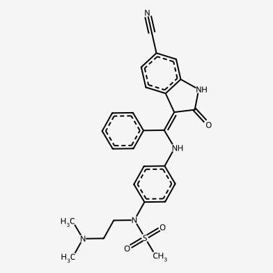 CN(C)CCN(c1ccc(N/C(=C2\C(=O)Nc3cc(C#N)ccc32)c2ccccc2)cc1)S(C)(=O)=O